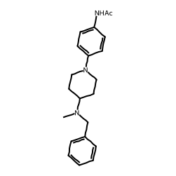 CC(=O)Nc1ccc(N2CCC(N(C)Cc3ccccc3)CC2)cc1